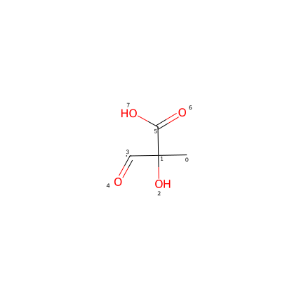 CC(O)([C]=O)C(=O)O